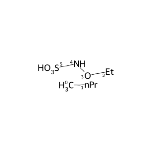 CCCC.CCONS(=O)(=O)O